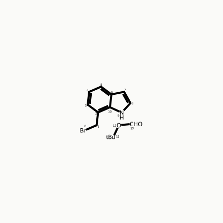 BrCc1cccc2cc[nH]c12.CC(C)(C)OC=O